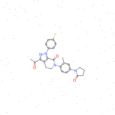 CC(=O)c1nn(-c2ccc(F)cc2)c2c1CCN(c1ccc(N3CCCC3=O)cc1C)C2=O